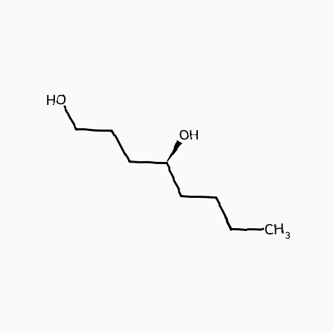 CCCC[C@H](O)CCCO